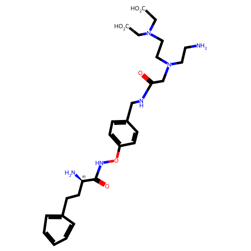 NCCN(CCN(CC(=O)O)CC(=O)O)CC(=O)NCc1ccc(ONC(=O)[C@H](N)CCc2ccccc2)cc1